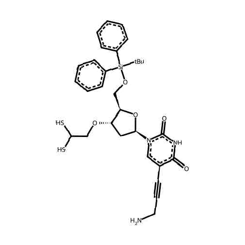 CC(C)(C)[Si](OC[C@H]1O[C@@H](n2cc(C#CCN)c(=O)[nH]c2=O)C[C@@H]1OCC(S)S)(c1ccccc1)c1ccccc1